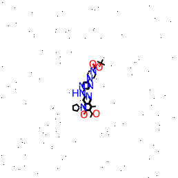 CC(=O)c1c(C)c2cnc(Nc3cnc(N4CCN(C(=O)OC(C)(C)C)CC4)cn3)cc2n(C2CCCC2)c1=O